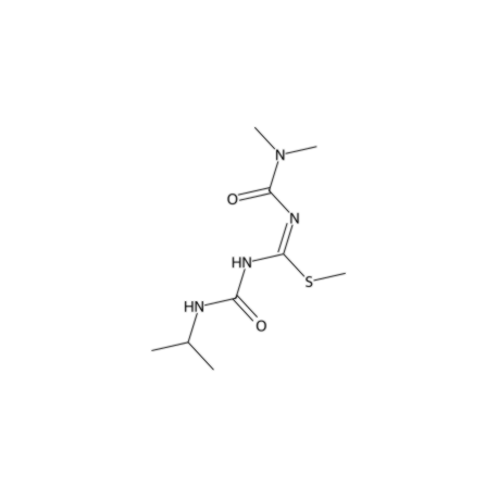 CSC(=NC(=O)N(C)C)NC(=O)NC(C)C